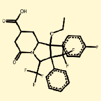 CCOC1(c2ccc(F)cc2)C2CC(C(=O)O)CC(=O)N2C(C(F)(F)F)C1(c1ccccc1)C(F)(F)F